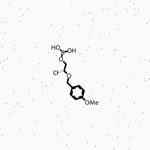 COc1ccc(CO[C@H](Cl)COB(O)O)cc1